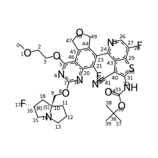 COCCOc1nc(OC[C@@]23CCCN2C[C@H](F)C3)nc2c(F)c(-c3ncc(F)c4sc(NC(=O)OC(C)(C)C)c(C#N)c34)c3c(c12)COC3